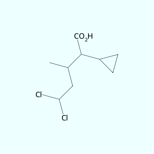 CC(CC(Cl)Cl)C(C(=O)O)C1CC1